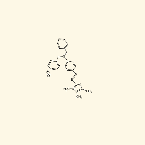 CC(=O)[O-].Cc1sc(/N=N/c2ccc(N(Cc3ccccc3)Cc3ccccc3)cc2)[n+](C)c1C